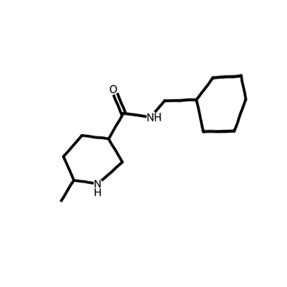 CC1CCC(C(=O)NCC2CCCCC2)CN1